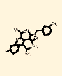 Cc1cccc(Cn2nc(C)c(-c3c(C(N)=O)nc4cc(F)ccc4c3C(N)=O)c2C)c1